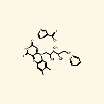 Cc1cc2nc3c(=O)[nH]c(=O)nc-3n(C[C@H](O)[C@H](O)[C@H](O)CO)c2cc1C.O=C(O)c1cccnc1.c1ccnnc1